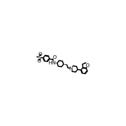 CS(=O)(=O)c1ccc(C(=O)N[C@H]2CC[C@H](CCN3CCC(c4cccc5c4CCO5)CC3)CC2)cc1